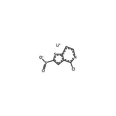 O=S([O-])c1cc2c(Cl)nccc2s1.[Li+]